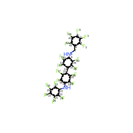 Fc1c(F)c(F)c(CNc2c(F)c(F)c(-c3c(F)c(F)c(Nc4c(F)c(F)c(F)c(F)c4F)c(F)c3F)c(F)c2F)c(F)c1F